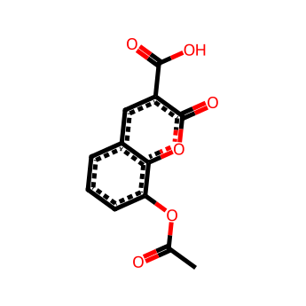 CC(=O)Oc1cccc2cc(C(=O)O)c(=O)oc12